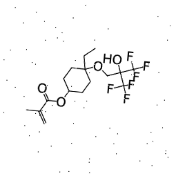 C=C(C)C(=O)OC1CCC(CC)(OCC(O)(C(F)(F)F)C(F)(F)F)CC1